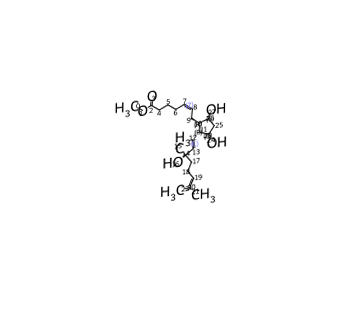 COC(=O)CCC/C=C\C[C@@H]1[C@@H](/C=C/C(C)(O)CCC=C(C)C)[C@H](O)C[C@@H]1O